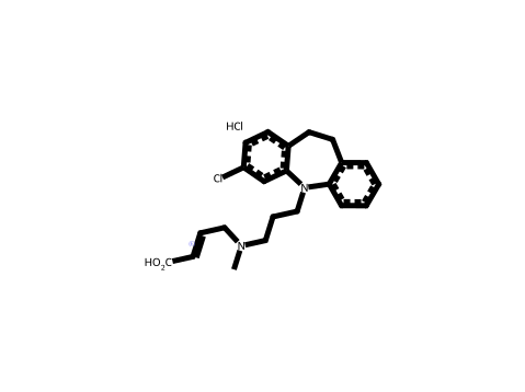 CN(C/C=C/C(=O)O)CCCN1c2ccccc2CCc2ccc(Cl)cc21.Cl